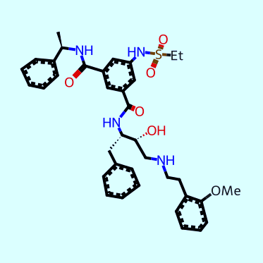 CCS(=O)(=O)Nc1cc(C(=O)N[C@@H](Cc2ccccc2)[C@H](O)CNCCc2ccccc2OC)cc(C(=O)N[C@H](C)c2ccccc2)c1